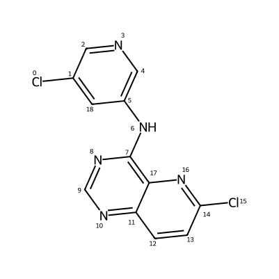 Clc1cncc(Nc2ncnc3ccc(Cl)nc23)c1